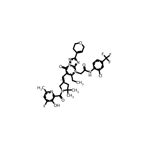 CCc1c(/C=C2/CN(C(=O)c3nc(C)cc(F)c3O)C(C)(C)C2)c(=O)n2nc(C3=CCOCC3)nc2n1CC(=O)Nc1ccc(C(F)(F)F)cc1Cl